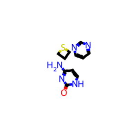 C1CSC1.Nc1cc[nH]c(=O)n1.c1cncnc1